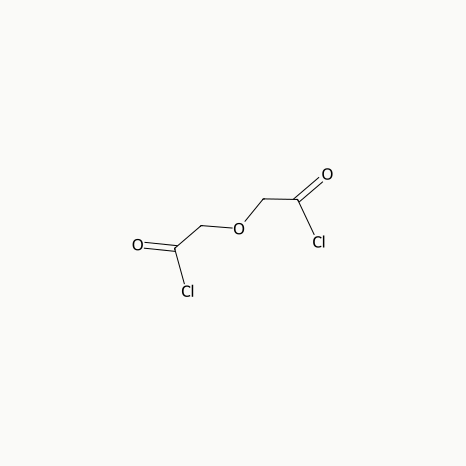 O=C(Cl)COCC(=O)Cl